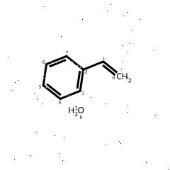 C=Cc1ccccc1.[1OH2]